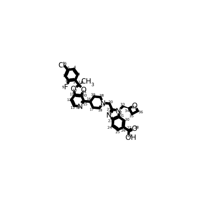 C[C@@]1(c2ccc(Cl)cc2F)Oc2ccnc(C3CCN(Cc4nc5ccc(C(=O)O)cc5n4C[C@@H]4CCO4)CC3)c2O1